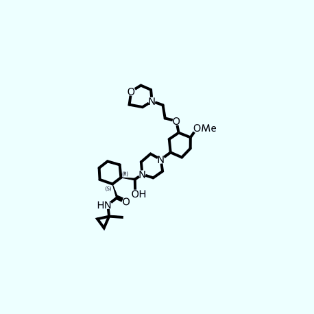 COC1CCC(N2CCN(C(O)[C@@H]3CCCC[C@@H]3C(=O)NC3(C)CC3)CC2)CC1OCCN1CCOCC1